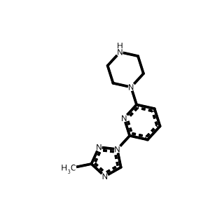 Cc1ncn(-c2cccc(N3CCNCC3)n2)n1